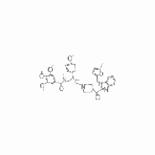 COc1ccc(C(CCN2CCC(C(=O)c3nc4ccccc4n3Cc3ccc(C)o3)CC2)CN(C)C(=O)c2cc(OC)c(OC)c(OC)c2)cc1